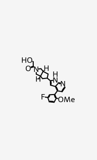 COc1ccc(F)cc1-c1ccnc2[nH]c(C3C[C@@H]4CN(C(=O)CO)C[C@@H]4C3)cc12